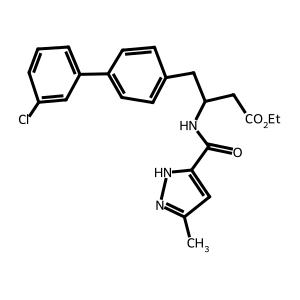 CCOC(=O)CC(Cc1ccc(-c2cccc(Cl)c2)cc1)NC(=O)c1cc(C)n[nH]1